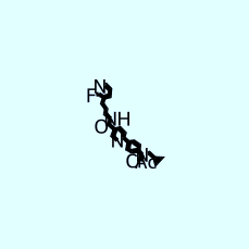 CC(=O)N(CC1CC1)c1ccc(-c2ccc(C(=O)NCCCc3cccnc3F)cn2)cc1Cl